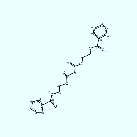 O=C(CC(=O)OCCOC(=O)c1ccccc1)OCCOC(=O)c1ccccc1